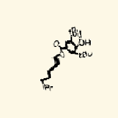 CC(C)CCCCCOC(=O)c1cc(C(C)(C)C)c(O)c(C(C)(C)C)c1